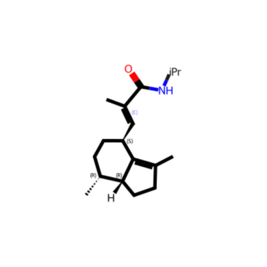 CC1=C2[C@H](/C=C(\C)C(=O)NC(C)C)CC[C@@H](C)[C@H]2CC1